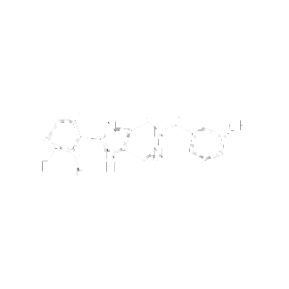 Fc1cccc(-c2nc3c([nH]2)C=NN(Cc2cccc(C(F)(F)F)c2)C3)c1F